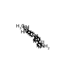 CNCC1NC2=C(CC3(CCN(c4nc5ccc(-c6ccnc(N)c6Cl)c6ncc4n56)CC3)C2)S1